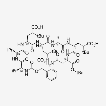 CC(C)[C@H](NC(=O)OCc1ccccc1)C(=O)N[C@H](C(=O)N[C@@H](CC(C(=O)O)C(C)(C)C)C(=O)N[C@@H](CC(C(=O)O)C(C)(C)C)C(=O)N[C@@H](C)C(=O)N[C@@H](CC(C(=O)O)C(C)(C)C)C(=O)N[C@@H](CC(N)=O)C(=O)OC(C)(C)C)C(C)C